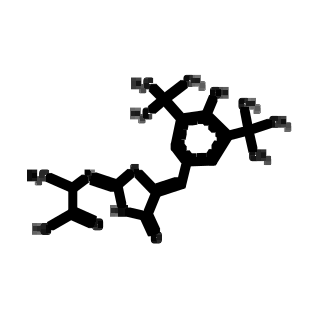 CC(/N=C1\NC(=O)C(=Cc2cc(C(C)(C)C)c(O)c(C(C)(C)C)c2)S1)C(=O)O